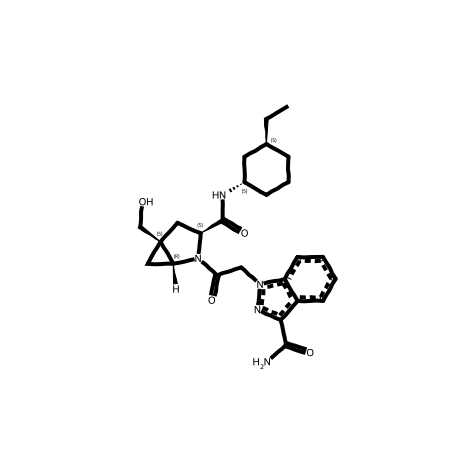 CC[C@H]1CCC[C@H](NC(=O)[C@@H]2C[C@@]3(CO)C[C@H]3N2C(=O)Cn2nc(C(N)=O)c3ccccc32)C1